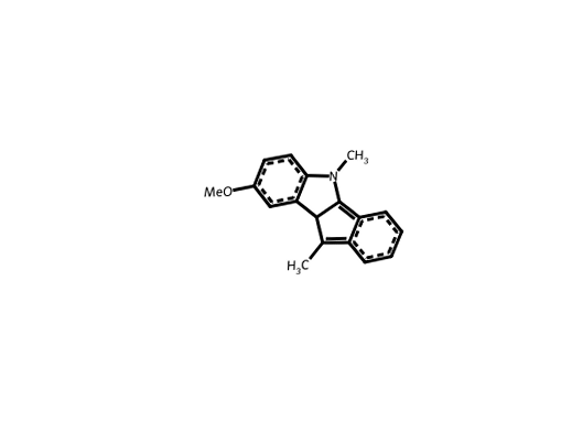 COc1ccc2c(c1)C1C(C)=c3ccccc3=C1N2C